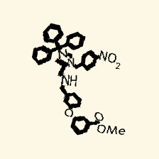 COC(=O)c1cccc(Oc2cccc(CNCC3=CN(C(c4ccccc4)(c4ccccc4)c4ccccc4)CN3Cc3ccc([N+](=O)[O-])cc3)c2)c1